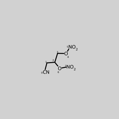 N#CCC(CO[N+](=O)[O-])O[N+](=O)[O-]